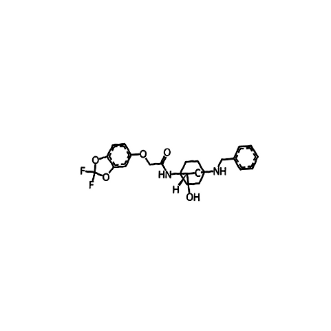 O=C(COc1ccc2c(c1)OC(F)(F)O2)NC12CCC(NCc3ccccc3)(CC1)C[C@@H]2O